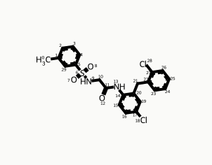 Cc1cccc(S(=O)(=O)NCC(=O)Nc2ccc(Cl)cc2Cc2ccccc2Cl)c1